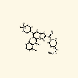 Cc1cccc(C)c1N(C)c1cc(C2CCC(C)(C)CC2)nc2cc(C(=O)N3CCC(CC(=O)O)CC3)nn12